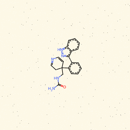 NC(=O)NCC1(c2ccccc2-c2n[nH]c3ccccc23)C=CN=CC1